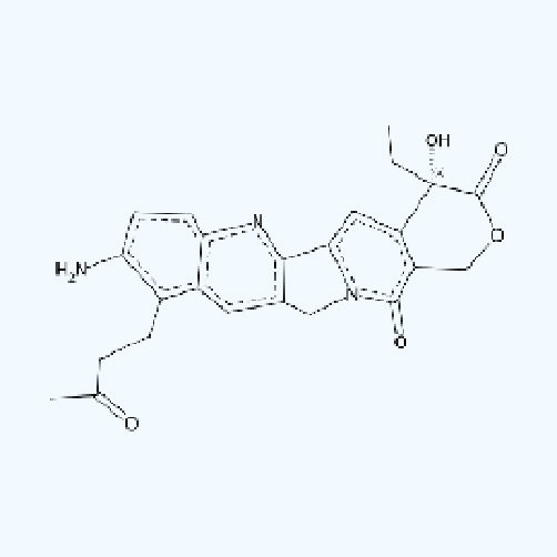 CC[C@@]1(O)C(=O)OCc2c1cc1n(c2=O)Cc2cc3c(CCC(C)=O)c(N)ccc3nc2-1